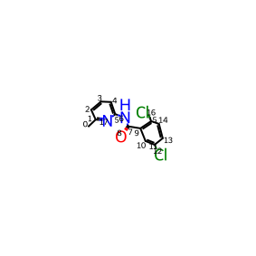 Cc1cccc(NC(=O)c2cc(Cl)ccc2Cl)n1